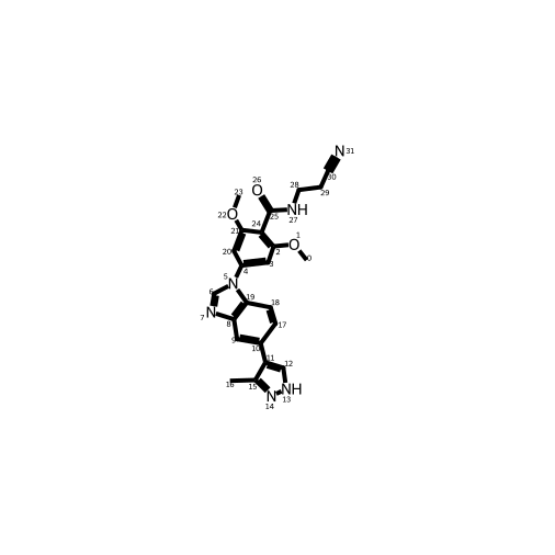 COc1cc(-n2cnc3cc(-c4c[nH]nc4C)ccc32)cc(OC)c1C(=O)NCCC#N